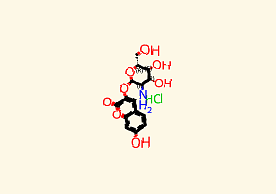 Cl.N[C@H]1C(Oc2cc3ccc(O)cc3oc2=O)O[C@H](CO)[C@@H](O)[C@@H]1O